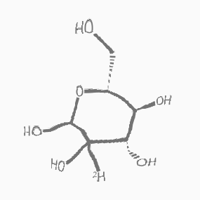 [2H]C1(O)C(O)O[C@H](CO)[C@@H](O)[C@@H]1O